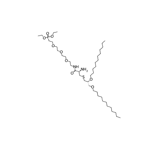 CCCCCCCCCCCCOC[C@H](CSC[C@H](N)C(=O)NCCOCCOCCOCCP(=O)(OCC)OCC)OCCCCCCCCCCCC